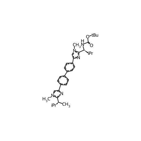 CC(C)[C@H](C)c1nc(-c2ccc(-c3ccc(-c4cn(C)c([C@@H](NC(=O)OC(C)(C)C)C(C)C)n4)cc3)cc2)cn1C